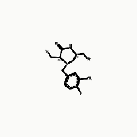 CC(C)C[C@H]1CN(Cc2ccc(F)c(C(F)(F)F)c2)[C@@H](CC(C)C)C(=O)N1